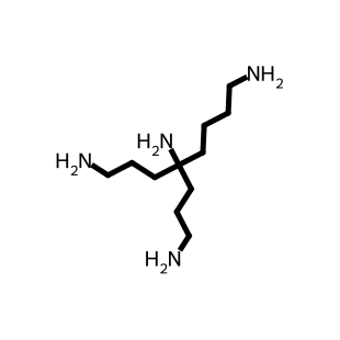 NCCCCC(N)(CCCN)CCCN